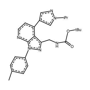 Cc1ccc(-n2nc(CNC(=O)OC(C)(C)C)c3c(-c4cnn(C(C)C)c4)ccnc32)cc1